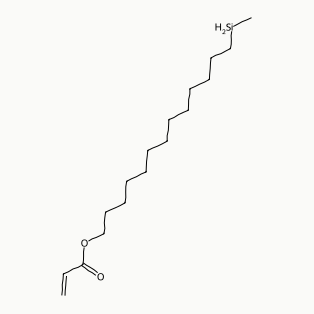 C=CC(=O)OCCCCCCCCCCCCC[SiH2]C